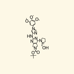 COc1cc(-n2cnc(Nc3nc4c(c(N5CCC[C@H]5CO)n3)CN(C(=O)OC(C)(C)C)C4)c2)cc(OC)c1OC